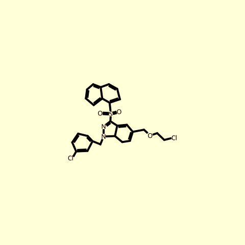 O=S(=O)(C1=NN(Cc2cccc(Cl)c2)C2CC=C(COCCCl)C=C12)c1cccc2ccccc12